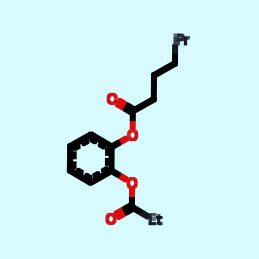 CCC(=O)Oc1ccccc1OC(=O)CCCC(C)C